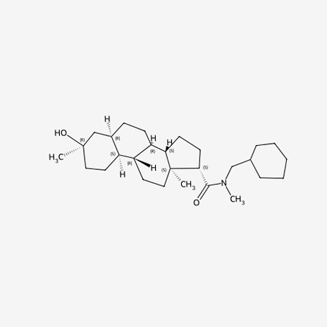 CN(CC1CCCCC1)C(=O)[C@H]1CC[C@H]2[C@@H]3CC[C@@H]4C[C@](C)(O)CC[C@@H]4[C@H]3CC[C@]12C